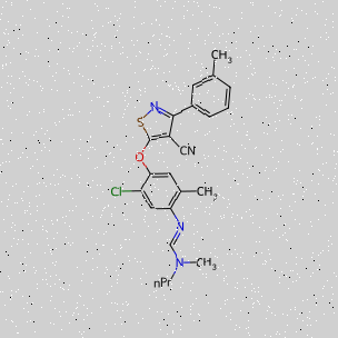 CCCN(C)C=Nc1cc(Cl)c(Oc2snc(-c3cccc(C)c3)c2C#N)cc1C